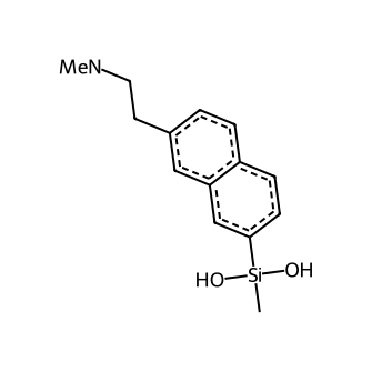 CNCCc1ccc2ccc([Si](C)(O)O)cc2c1